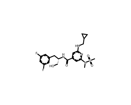 CN(c1cc(C(=O)N[C@H](CO)Cc2cc(F)cc(F)c2)cc(NCC2CC2)n1)S(C)(=O)=O